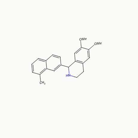 COc1cc2c(cc1OC)C(c1[c]c3c(C)cccc3cc1)NCC2